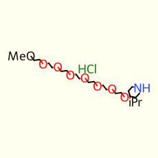 COCCOCCOCCOCCOCCOCCOCCOC1(C(C)C)CCNCC1.Cl